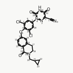 N#Cc1nn(-c2cc(Cl)c(Oc3ccc4c(c3)CCN(CC3CC3)C4=O)c(Cl)c2)c(=O)[nH]c1=O